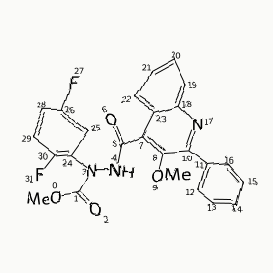 COC(=O)N(NC(=O)c1c(OC)c(-c2ccccc2)nc2ccccc12)c1cc(F)ccc1F